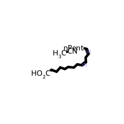 CC#N.CCCCC/C=C\C/C=C\CCCCCCCC(=O)O